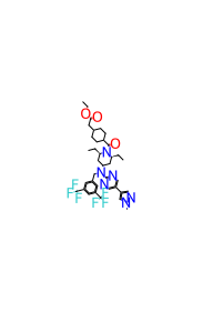 CCOC(=O)CC1CCC(C(=O)N2[C@H](CC)C[C@@H](N(Cc3cc(C(F)(F)F)cc(C(F)(F)F)c3)c3ncc(-c4cnn(C)c4)cn3)C[C@@H]2CC)CC1